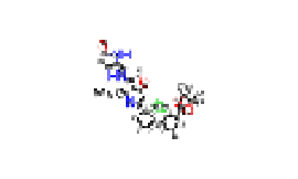 COc1nc(-c2cccc(-c3cccc(B4OC(C)(C)C(C)(C)O4)c3Cl)c2Cl)cc2c1[C@@H](NC[C@@H]1CCC(=O)N1)CO2